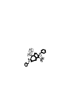 CN(Cc1ccccc1)[C@H]1CCc2c(ccc(OCc3ccccc3)c2[N+](=O)[O-])[C@@H]1O.Cl